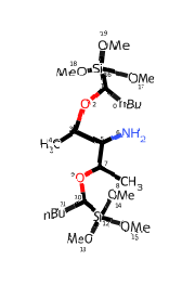 CCCCC(OC(C)C(N)C(C)OC(CCCC)[Si](OC)(OC)OC)[Si](OC)(OC)OC